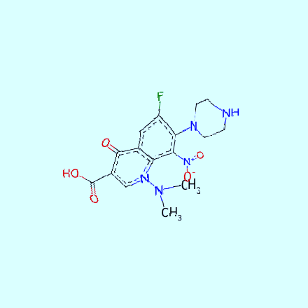 CN(C)n1cc(C(=O)O)c(=O)c2cc(F)c(N3CCNCC3)c([N+](=O)[O-])c21